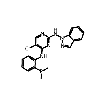 CP(C)c1ccccc1Nc1nc(Nn2ncc3ccccc32)ncc1Cl